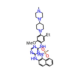 CCc1cc(Nc2ncnc(Nc3ccc4ccccc4c3NS(C)(=O)=O)n2)c(OC)cc1N1CCC(N2CCN(C)CC2)CC1